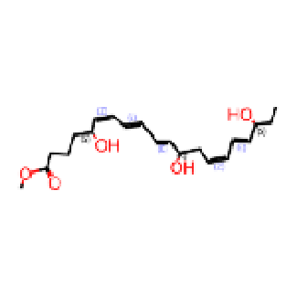 CC[C@H](O)/C=C/C=C\C[C@@H](O)/C=C/C=C/C=C\[C@@H](O)CCCC(=O)OC